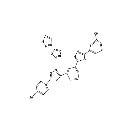 CC(C)(C)c1ccc(-c2nnc(-c3cccc(-c4nnc(-c5cccc(O)c5)o4)c3)o2)cc1.c1conn1.c1conn1